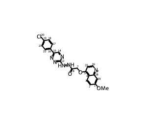 COc1ccc2c(OCC(=O)NNc3ncc(-c4ccc(Cl)cc4)nn3)ccnc2c1